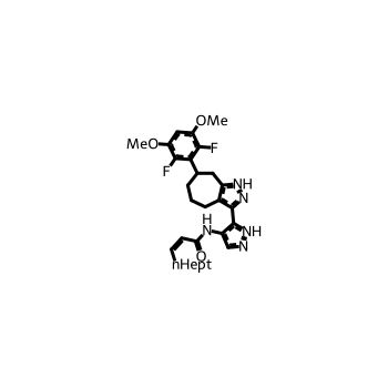 CCCCCCC/C=C\C(=O)Nc1cn[nH]c1-c1n[nH]c2c1CCCC(c1c(F)c(OC)cc(OC)c1F)C2